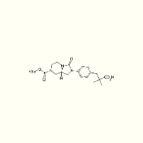 CC(C)(C)OC(=O)N1CCN2C(=O)N(c3ccc(CC(C)(C)C(=O)O)cc3)C[C@@H]2C1